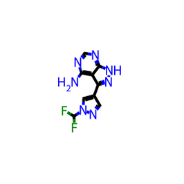 Nc1ncnc2[nH]nc(-c3cnn(C(F)F)c3)c12